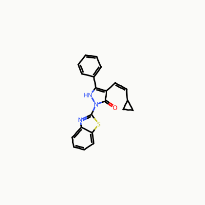 O=c1c(/C=C\C2CC2)c(-c2ccccc2)[nH]n1-c1nc2ccccc2s1